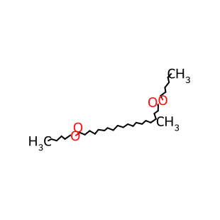 CCCCCCOC(=O)CCCCCCCCCCCCCCCC(C)CCC(=O)OCCCCCC